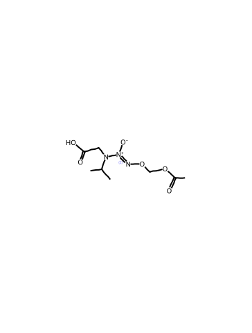 CC(=O)OCO/N=[N+](\[O-])N(CC(=O)O)C(C)C